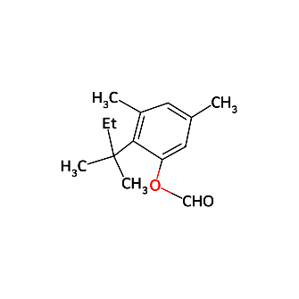 CCC(C)(C)c1c(C)cc(C)cc1OC=O